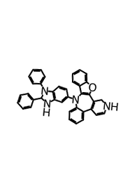 C1=CC2=C(CN1)c1oc3ccccc3c1N(c1ccc3c(c1)NC(c1ccccc1)N3c1ccccc1)c1ccccc12